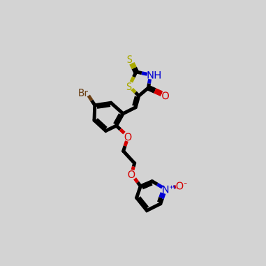 O=C1NC(=S)S/C1=C\c1cc(Br)ccc1OCCOc1ccc[n+]([O-])c1